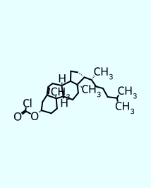 CC(C)CCC[C@@H](C)[C@H]1CCC2[C@@H]3CC=C4C[C@@H](OC(=O)Cl)CC[C@]4(C)[C@H]3CC[C@@]21C